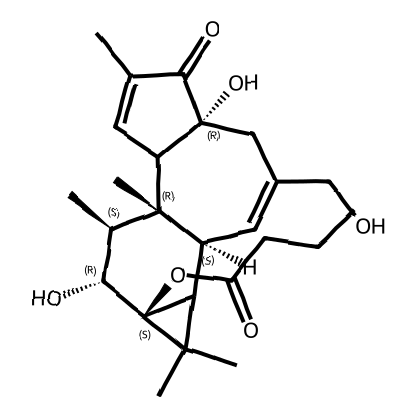 CCCC(=O)O[C@]12C([C@@H]3C=C(CO)C[C@]4(O)C(=O)C(C)=CC4[C@@]3(C)[C@H](C)[C@H]1O)C2(C)C